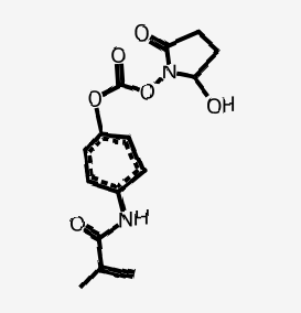 C=C(C)C(=O)Nc1ccc(OC(=O)ON2C(=O)CCC2O)cc1